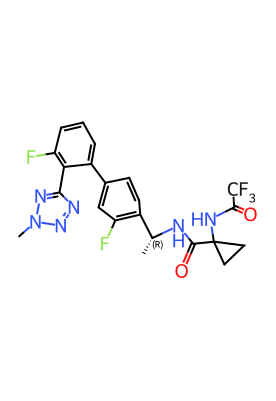 C[C@@H](NC(=O)C1(NC(=O)C(F)(F)F)CC1)c1ccc(-c2cccc(F)c2-c2nnn(C)n2)cc1F